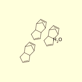 C1=CC2C3C=CC(C3)C2C1.C1=CC2C3C=CC(C3)C2C1.C1=CC2C3C=CC(C3)C2C1.O